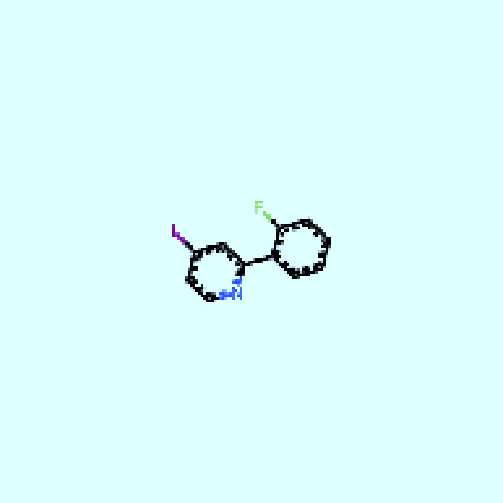 Fc1ccccc1-c1cc(I)ccn1